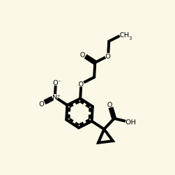 CCOC(=O)COc1cc(C2(C(=O)O)CC2)ccc1[N+](=O)[O-]